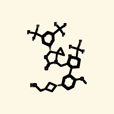 COc1ccc([C@H]2C[C@H](CO)C2)cc1-c1ccc(C(F)(F)F)nc1CN1C(=O)O[C@H](c2cc(C(F)(F)F)cc(C(F)(F)F)c2)C12CC2